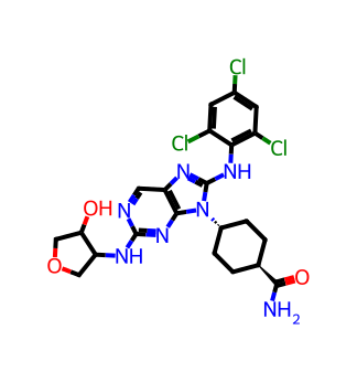 NC(=O)[C@H]1CC[C@H](n2c(Nc3c(Cl)cc(Cl)cc3Cl)nc3cnc(NC4COCC4O)nc32)CC1